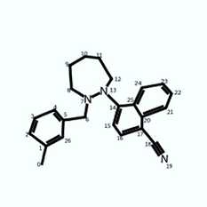 Cc1cccc(CN2CCCCCN2c2ccc(C#N)c3ccccc23)c1